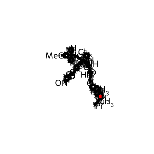 COc1ccc(C(NCCCC[C@H](NC(=O)[C@H](Cc2ccc(Cl)c(Cl)c2)NC(=O)CCC(=O)NCCCO[C@H]2CC[C@@]3(C)C(=CC[C@H]4[C@@H]5CC[C@H]([C@H](C)CCCC(C)C)[C@@]5(C)CC[C@@H]43)C2)C(=O)Nc2ccc(COC(=O)Oc3ccc(N=O)cc3)cc2)(c2ccccc2)c2ccccc2)cc1